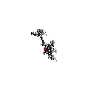 CC(=O)Nc1ccc2c(c1)C(C)(C)c1cc(NC(=O)C(F)(F)F)ccc1C21OC(=O)c2ccc(C(=O)NCCCCCCOP(OCCC#N)N(C(C)C)C(C)C)cc21